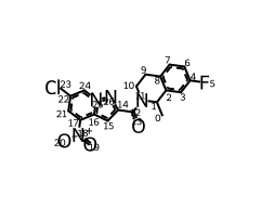 CC1c2cc(F)ccc2CCN1C(=O)c1cc2c([N+](=O)[O-])cc(Cl)cn2n1